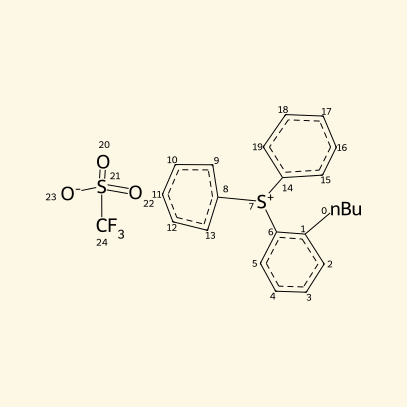 CCCCc1ccccc1[S+](c1ccccc1)c1ccccc1.O=S(=O)([O-])C(F)(F)F